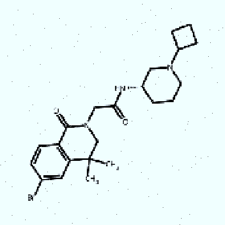 CC1(C)CN(CC(=O)N[C@H]2CCCN(C3CCC3)C2)C(=O)c2ccc(Br)cc21